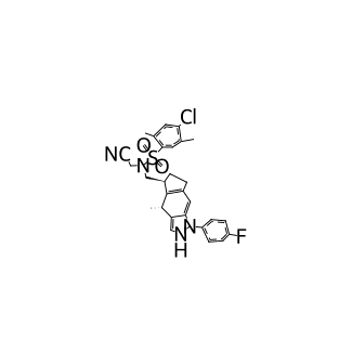 Cc1cc(S(=O)(=O)N(CC#N)C[C@H]2CCC3=C2[C@@H](C)C2=CNN(c4ccc(F)cc4)C2=C3)c(C)cc1Cl